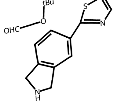 CC(C)(C)OC=O.c1csc(-c2ccc3c(c2)CNC3)n1